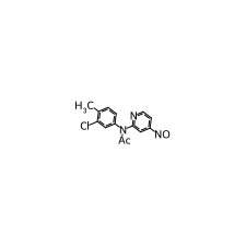 CC(=O)N(c1ccc(C)c(Cl)c1)c1cc(N=O)ccn1